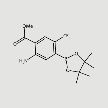 COC(=O)c1cc(C(F)(F)F)c(B2OC(C)(C)C(C)(C)O2)cc1N